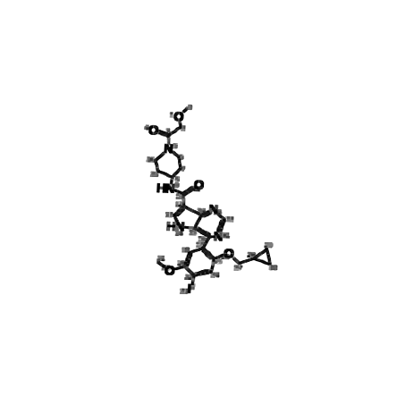 COCC(=O)N1CCC(NC(=O)c2c[nH]c3c(-c4cc(OC)c(F)cc4OCC4CC4)ncnc23)CC1